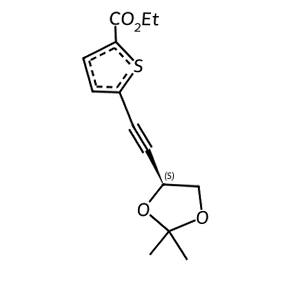 CCOC(=O)c1ccc(C#C[C@H]2COC(C)(C)O2)s1